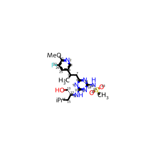 COc1ncc(C(C)Cc2nc(N[C@@H](CO)CC(C)C)nc(NS(C)(=O)=O)n2)cc1F